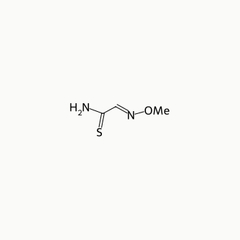 CON=CC(N)=S